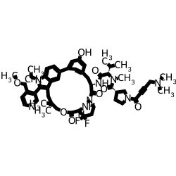 CCn1c(-c2cnccc2[C@H](C)OC)c2c3cc(ccc31)-c1cc(O)cc(c1)C[C@H](NC(=O)[C@H](C(C)C)N(C)C(=O)[C@H]1CCN(C(=O)C#CCN(C)C)C1)C(=O)N1CCC(F)(F)[C@H](N1)C(=O)OCC(C)(C)C2